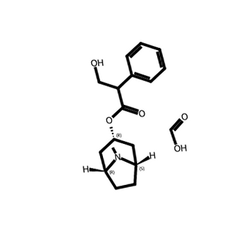 CN1[C@@H]2CC[C@H]1C[C@@H](OC(=O)C(CO)c1ccccc1)C2.O=CO